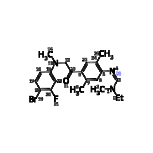 CCN(C)/C=N\c1cc(C)c(C(=O)CN(C)c2ccc(Br)c(F)c2)cc1C